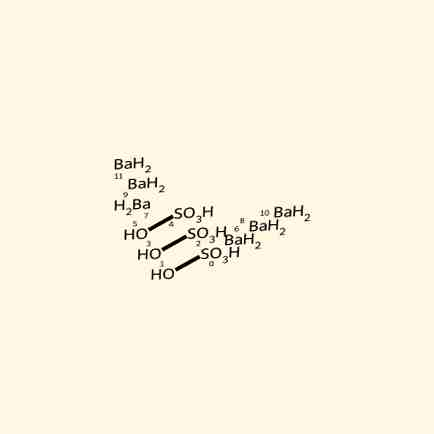 O=S(=O)(O)O.O=S(=O)(O)O.O=S(=O)(O)O.[BaH2].[BaH2].[BaH2].[BaH2].[BaH2].[BaH2]